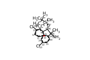 CC(C)(C)[Si](C)(C)O[C@H](c1cccc(Cl)c1)[C@](C)(N)c1ccc(Cl)cc1